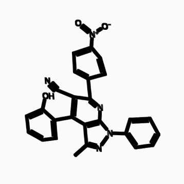 Cc1nn(-c2ccccc2)c2nc(-c3ccc([N+](=O)[O-])cc3)c(C#N)c(-c3ccccc3O)c12